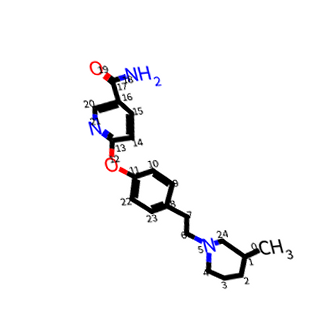 CC1CCCN(CCc2ccc(Oc3ccc(C(N)=O)cn3)cc2)C1